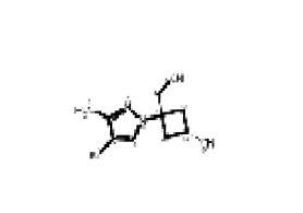 N#CC[C@]1(n2cc(Br)c(N)n2)C[C@@H](C#N)C1